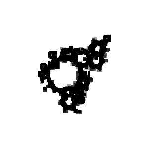 C[C@@H]1[C@@H](C)C/C=C/[C@@](O)([C@@H]2OCCN(C)C2=O)[C@@H]2CC[C@H]2CN2C[C@@]3(CCCc4cc(Cl)ccc43)COc3ccc(cc32)C(=O)NS1(=O)=O